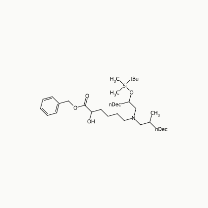 CCCCCCCCCCC(C)CN(CCCCC(O)C(=O)OCc1ccccc1)CC(CCCCCCCCCC)O[Si](C)(C)C(C)(C)C